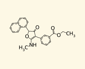 CCOC(=O)c1cccc(C2=C(NC)OC(c3cccc4ccccc34)C2=O)c1